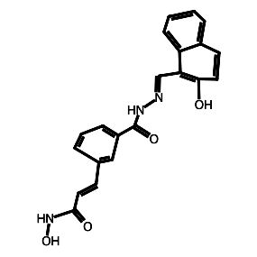 O=C(/C=C/c1cccc(C(=O)N/N=C/c2c(O)ccc3ccccc23)c1)NO